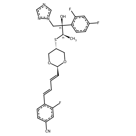 C[C@@H](S[C@H]1CO[C@H](C=CC=Cc2ccc(C#N)cc2F)OC1)[C@](O)(Cn1cncn1)c1ccc(F)cc1F